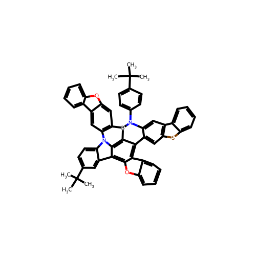 CC(C)(C)c1ccc(N2B3c4cc5oc6ccccc6c5cc4-n4c5ccc(C(C)(C)C)cc5c5c6oc7ccccc7c6c(c3c54)-c3cc4sc5ccccc5c4cc32)cc1